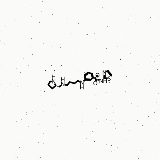 O=S(=O)(Nc1nccs1)c1cccc(NCCCCNC[C@@H]2CCCN2)c1